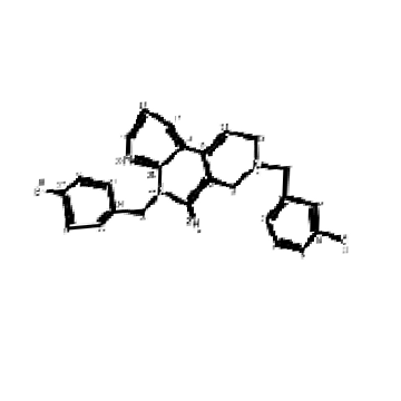 [2H]C1=C2CN(Cc3cccc(Cl)c3)CC=C2c2cccnc2N1Cc1ccc(Br)cc1